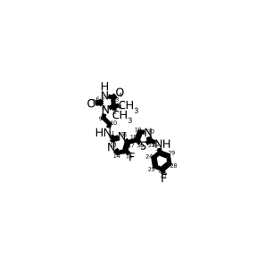 CC1(C)C(=O)NC(=O)N1CCNc1ncc(F)c(-c2cnc(Nc3ccc(F)cc3)s2)n1